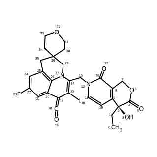 CC[C@@]1(O)C(=O)OCc2c1ccn(CC1=C(I)C(=C=O)c3cc(F)cc4c3N1CC1(CCOCC1)C4)c2=O